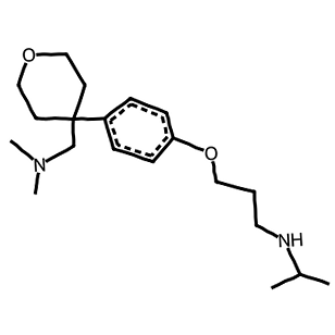 CC(C)NCCCOc1ccc(C2(CN(C)C)CCOCC2)cc1